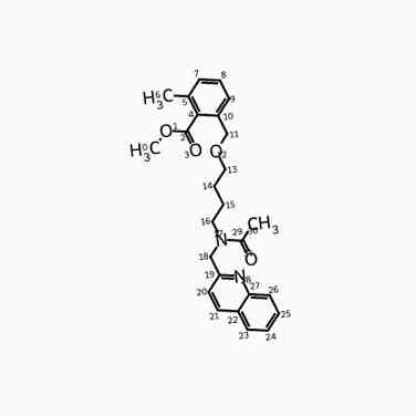 COC(=O)c1c(C)cccc1COCCCCN(Cc1ccc2ccccc2n1)C(C)=O